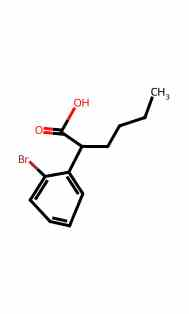 CCCCC(C(=O)O)c1ccccc1Br